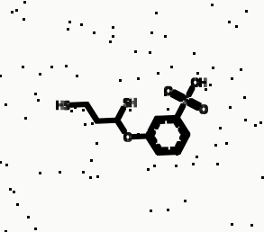 O=S(=O)(O)c1cccc(OC(S)CCS)c1